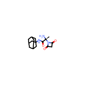 C[C@](N)(C(=O)NC12CC3CC(CC(C3)C1)C2)N1C(=O)CC1=O